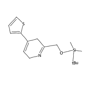 CC(C)(C)[Si](C)(C)OCC1=NCC=C(c2cccs2)C1